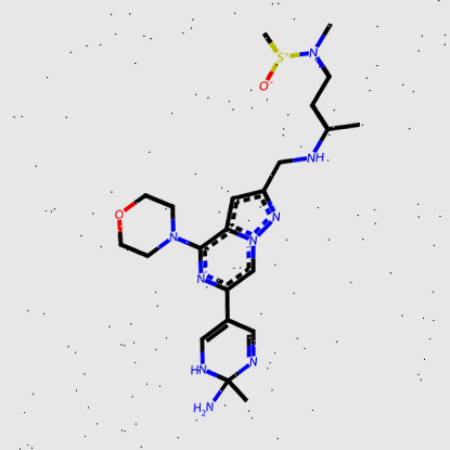 CC(CCN(C)[S+](C)[O-])NCc1cc2c(N3CCOCC3)nc(C3=CNC(C)(N)N=C3)cn2n1